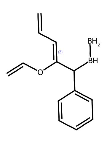 BBC(/C(=C/C=C)OC=C)c1ccccc1